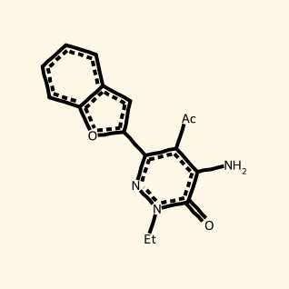 CCn1nc(-c2cc3ccccc3o2)c(C(C)=O)c(N)c1=O